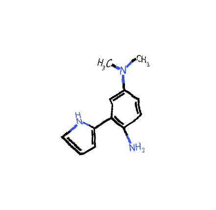 CN(C)c1ccc(N)c(-c2ccc[nH]2)c1